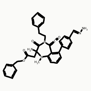 CN1c2cccc(-c3ccc(C=NN)cc3)c2C(=C=O)N(CCc2ccccc2)C(=O)C1(N)CC(=O)OCc1ccccc1